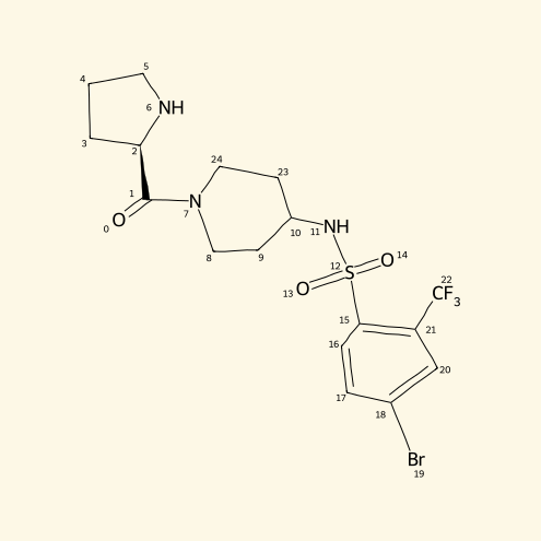 O=C([C@H]1CCCN1)N1CCC(NS(=O)(=O)c2ccc(Br)cc2C(F)(F)F)CC1